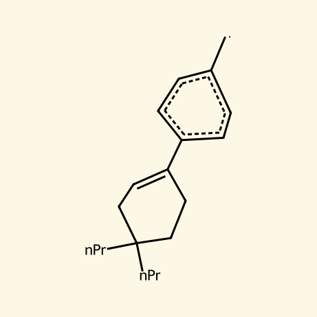 [CH2]c1ccc(C2=CCC(CCC)(CCC)CC2)cc1